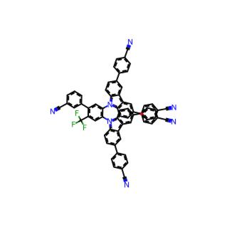 N#Cc1ccc(-c2ccc3c(c2)c2cc(-c4ccc(C#N)cc4)ccc2n3-c2cc(-c3cccc(C#N)c3)c(C(F)(F)F)cc2-n2c3ccc(-c4ccc(C#N)cc4)cc3c3cc(-c4ccc(C#N)cc4)ccc32)cc1